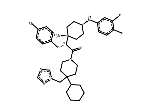 N[C@]1([C@@H](Cc2ccc(Cl)cc2)C(=O)N2CCC(Cn3cncn3)(C3CCCCC3)CC2)CC[C@H](Nc2ccc(F)c(F)c2)CC1